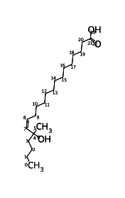 CCCCC(C)(O)/C=C\CCCCCCCCCCCCC(=O)O